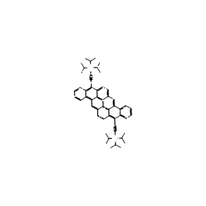 CC(C)[Si](C#Cc1c2ccccc2c2cc3ccc4c(C#C[Si](C(C)C)(C(C)C)C(C)C)c5ccccc5c5cc6ccc1c2c6c3c45)(C(C)C)C(C)C